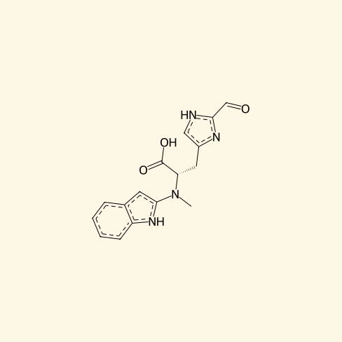 CN(c1cc2ccccc2[nH]1)[C@@H](Cc1c[nH]c(C=O)n1)C(=O)O